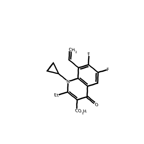 C=Cc1c(F)c(F)cc2c(=O)c(C(=O)O)c(CC)n(C3CC3)c12